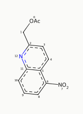 CC(=O)OCc1ccc2c([N+](=O)[O-])cccc2n1